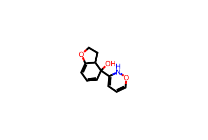 OC1(C2=CC=CON2)C=CC=C2OCCC21